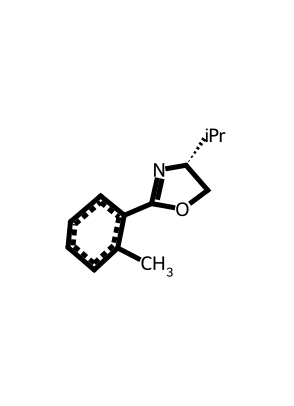 Cc1ccccc1C1=N[C@H](C(C)C)CO1